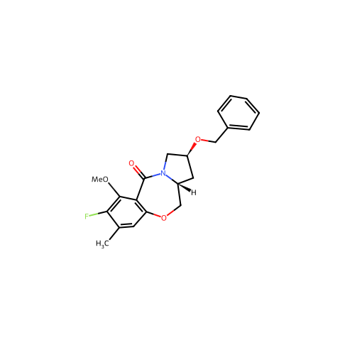 COc1c(F)c(C)cc2c1C(=O)N1C[C@@H](OCc3ccccc3)C[C@@H]1CO2